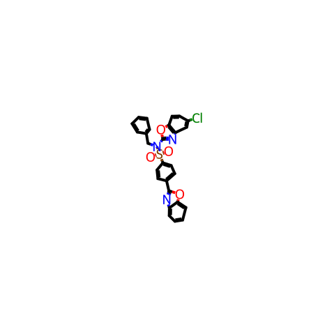 O=S(=O)(c1ccc(-c2nc3ccccc3o2)cc1)N(Cc1ccccc1)c1nc2cc(Cl)ccc2o1